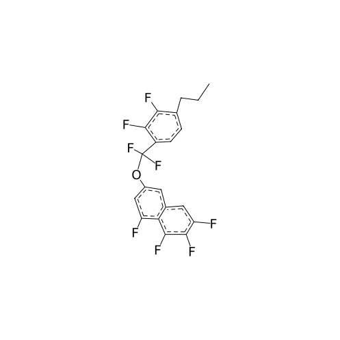 CCCc1ccc(C(F)(F)Oc2cc(F)c3c(F)c(F)c(F)cc3c2)c(F)c1F